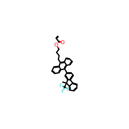 C=CC(=O)OCCCCc1c2ccccc2c(-c2ccc3c(c2)C(C)(C(F)(F)F)c2ccccc2-3)c2ccccc12